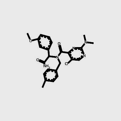 COc1cccc(C(C(N)=O)N(Cc2ccc(C)cc2)C(=O)c2nc(N(C)C)ncc2Cl)c1